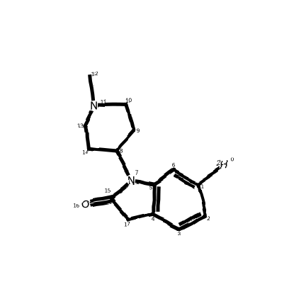 [2H]c1ccc2c(c1)N(C1CCN(C)CC1)C(=O)C2